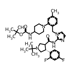 Cc1ccc(Cn2ccnc2NC(=O)C2CN(C(C)(C)C)C[C@H]2c2ccc(F)cc2F)c(N2CCC(NC(=O)OC(C)(C)C)CC2)c1